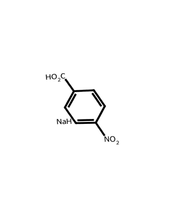 O=C(O)c1ccc([N+](=O)[O-])cc1.[NaH]